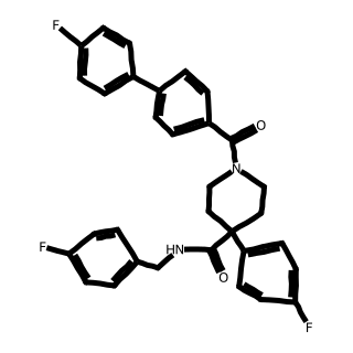 O=C(c1ccc(-c2ccc(F)cc2)cc1)N1CCC(C(=O)NCc2ccc(F)cc2)(c2ccc(F)cc2)CC1